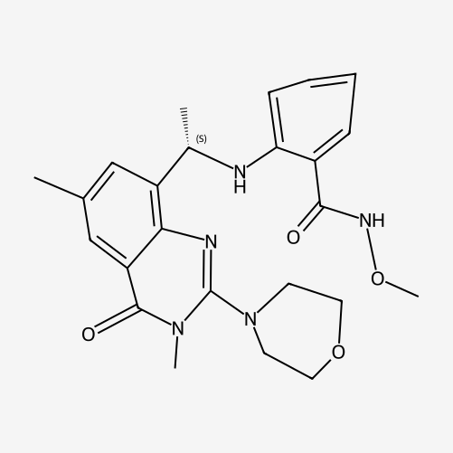 CONC(=O)c1ccccc1N[C@@H](C)c1cc(C)cc2c(=O)n(C)c(N3CCOCC3)nc12